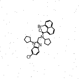 O=C(c1cccc2cccc(Br)c12)N(Cc1nc2ccc(Cl)cc2n1C1CCCC1)C1CCCC1